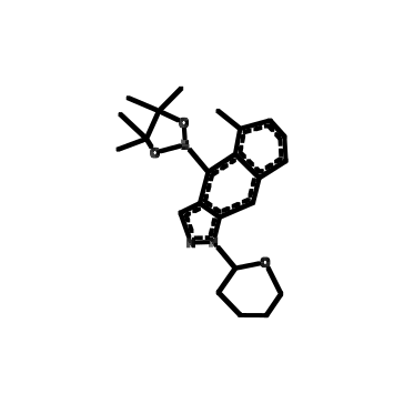 Cc1cccc2cc3c(cnn3C3CCCCO3)c(B3OC(C)(C)C(C)(C)O3)c12